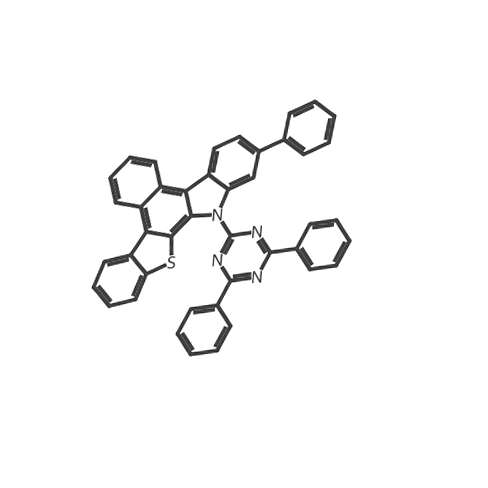 c1ccc(-c2ccc3c4c5ccccc5c5c6ccccc6sc5c4n(-c4nc(-c5ccccc5)nc(-c5ccccc5)n4)c3c2)cc1